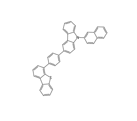 c1ccc2cc(-n3c4ccccc4c4cc(-c5ccc(-c6cccc7c6sc6ccccc67)cc5)ccc43)ccc2c1